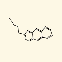 CCCCc1ccc2[c]c3ccccc3cc2c1